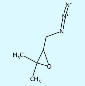 CC1(C)OC1CN=[N+]=[N-]